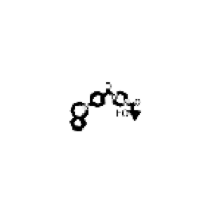 O=C(c1ccc(N2CCCc3ccccc3C2)cc1)N1CCN(C(=O)C2(O)CC2)CC1